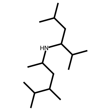 CC(C)CC(NC(C)CC(C)C(C)C)C(C)C